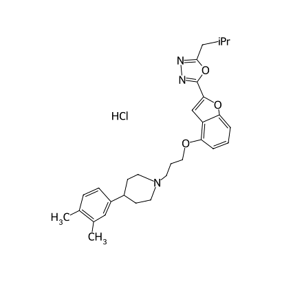 Cc1ccc(C2CCN(CCCOc3cccc4oc(-c5nnc(CC(C)C)o5)cc34)CC2)cc1C.Cl